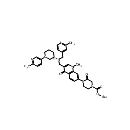 Cc1ccc(N2CCC[C@H](N(Cc3ccnc(C)c3)Cc3cn(C)c4cc(N5CCN(C(=O)OC(C)(C)C)CC5=O)ccc4c3=O)C2)cn1